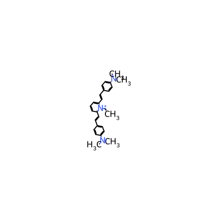 CC[n+]1c(/C=C/c2ccc(N(C)C)cc2)cccc1/C=C/c1ccc(N(C)C)cc1